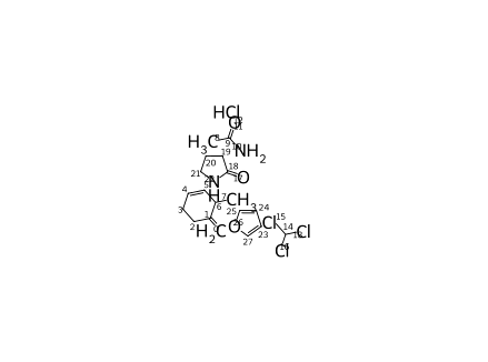 C=C1CCC=CC1C.CC(N)=O.Cl.ClC(Cl)Cl.O=C1CCCN1.c1ccoc1